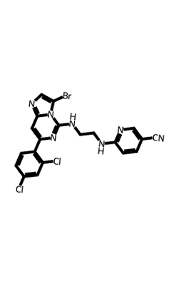 N#Cc1ccc(NCCNc2nc(-c3ccc(Cl)cc3Cl)cc3ncc(Br)n23)nc1